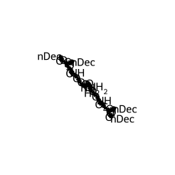 CCCCCCCCCCCC(=O)OC[C@H](CSCCC(=O)NCCOCCOCC(N)O[PH](=O)OC(N)COCCOCCNC(=O)CCSC[C@@H](COC(=O)CCCCCCCCCCC)OC(=O)CCCCCCCCCCC)OC(=O)CCCCCCCCCCC